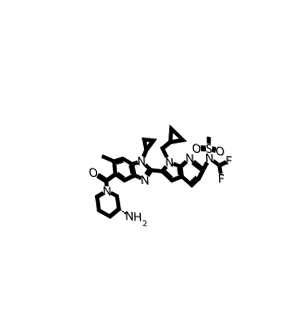 Cc1cc2c(cc1C(=O)N1CCC[C@@H](N)C1)nc(-c1cc3ccc(N(C(F)F)S(C)(=O)=O)nc3n1CC1CC1)n2C1CC1